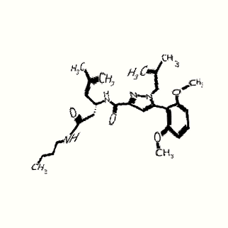 CCCCNC(=O)C[C@H](CC(C)C)NC(=O)c1cc(-c2c(OC)cccc2OC)n(CC(C)C)n1